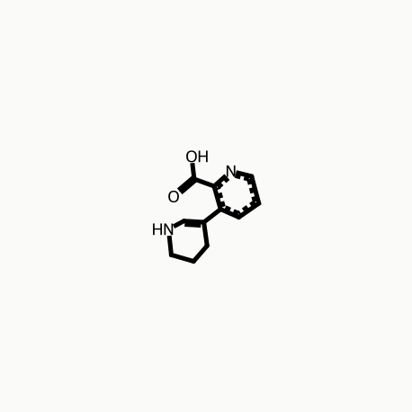 O=C(O)c1ncccc1C1=CNCCC1